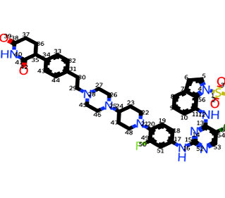 CS(=O)(=O)n1ccc2cccc(Nc3nc(Nc4ccc(N5CCC(N6CCN(CCc7ccc(C8CCC(=O)NC8=O)cc7)CC6)CC5)c(F)c4)ncc3Cl)c21